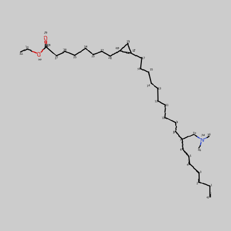 CCCCCCCC(CCCCCCCCCCC1CC1CCCCCCCC(=O)OCC)CN(C)C